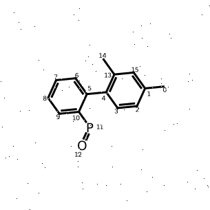 Cc1ccc(-c2ccccc2P=O)c(C)c1